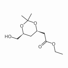 CCOC(=O)C[C@H]1C[C@@H](CO)OC(C)(C)O1